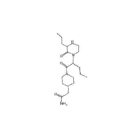 CCCC1NCCN(C(CCC)C(=O)N2CCC(CC(N)=O)CC2)C1=O